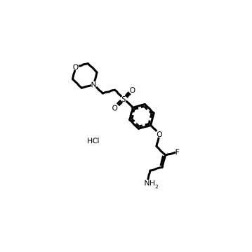 Cl.NC/C=C(/F)COc1ccc(S(=O)(=O)CCN2CCOCC2)cc1